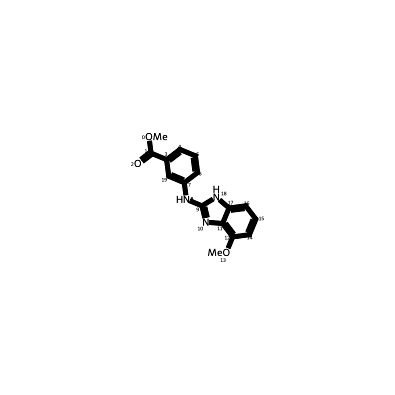 COC(=O)c1cccc(Nc2nc3c(OC)cccc3[nH]2)c1